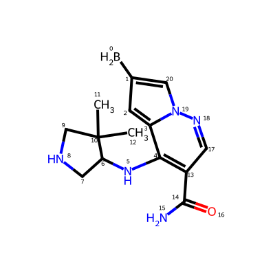 Bc1cc2c(NC3CNCC3(C)C)c(C(N)=O)cnn2c1